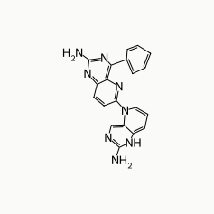 NC1=NC=C2C(=CC=CN2c2ccc3nc(N)nc(-c4ccccc4)c3n2)N1